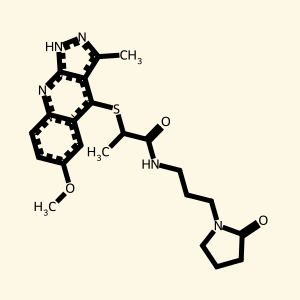 COc1ccc2nc3[nH]nc(C)c3c(SC(C)C(=O)NCCCN3CCCC3=O)c2c1